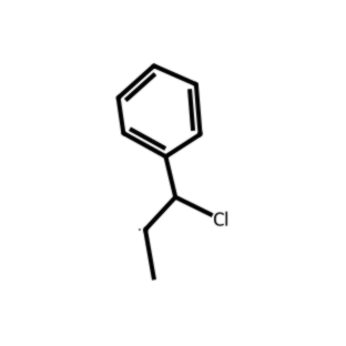 C[CH]C(Cl)c1ccccc1